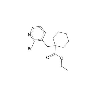 CCOC(=O)C1(Cc2cccnc2Br)CCCCC1